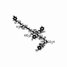 Cc1ccc(C(=O)NCCCC[C@H](NC(=O)CCCCCNC(=O)[C@H](CCC(=O)O)NC(=O)[C@H](Cc2c[nH]c3ccccc23)NC(=O)[C@H](Cc2cccc(F)c2)NC(=O)CNC(=O)[C@H](CCC(=O)O)NC(=O)[C@@H](CC(=O)O)NS(=O)(=O)c2ccc(Br)cc2)C(N)=O)cc1